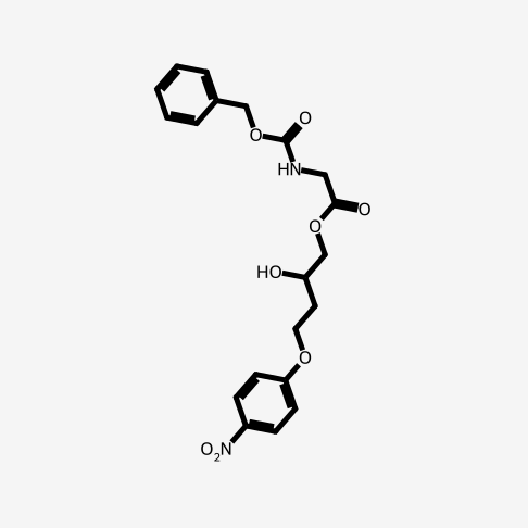 O=C(CNC(=O)OCc1ccccc1)OCC(O)CCOc1ccc([N+](=O)[O-])cc1